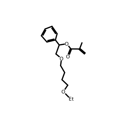 C=C(C)C(=O)OC(COCCCCOCC)c1ccccc1